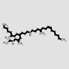 C=C(CC/C=C\CCCCCC)CCCBCCCC(CCC(C)CCCCC)CC(=C)CPCC